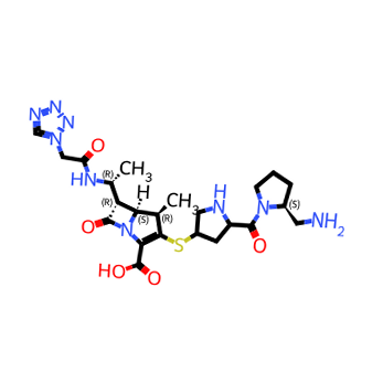 C[C@@H](NC(=O)Cn1cnnn1)[C@H]1C(=O)N2C(C(=O)O)=C(SC3CNC(C(=O)N4CCC[C@H]4CN)C3)[C@H](C)[C@H]12